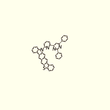 c1ccc(-c2cc(-c3cccc(-n4c5ccccc5c5cc6cc7sc8ccccc8c7cc6cc54)n3)nc(-c3ccccc3)n2)cc1